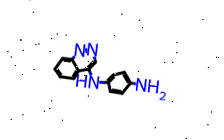 Nc1ccc(Nc2cnnc3ccccc23)cc1